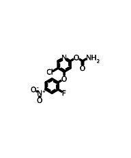 NC(=O)Oc1cc(Oc2ccc([N+](=O)[O-])cc2F)c(Cl)cn1